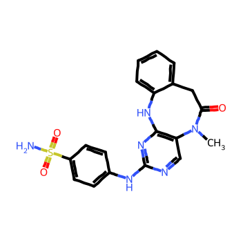 CN1C(=O)Cc2ccccc2Nc2nc(Nc3ccc(S(N)(=O)=O)cc3)ncc21